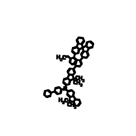 C=Cc1ccccc1-c1ccc2c(c1)C1(c3ccccc3-c3ccc(-c4ccc(-c5ccc6c(c5)C(C)(C)c5cc(N(c7ccc(-c8ccccc8)cc7)c7ccc8c(c7)C(C)(C)c7ccccc7-8)ccc5-6)cc4)cc31)c1ccccc1-2